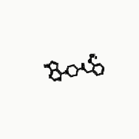 FC(F)(F)Oc1ccccc1CNC1CCN(c2ncnc3[nH]ccc23)CC1